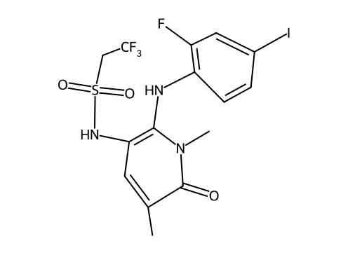 Cc1cc(NS(=O)(=O)CC(F)(F)F)c(Nc2ccc(I)cc2F)n(C)c1=O